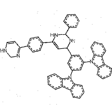 C1=CC(c2ccc(C3=CC(c4cc(-n5c6ccccc6c6ccccc65)cc(-n5c6ccccc6c6ccccc65)c4)NC(c4ccccc4)N3)cc2)=NCN1